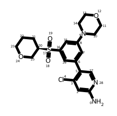 Nc1cc(Cl)c(-c2cc(N3CCOCC3)cc(S(=O)(=O)[C@@H]3CCCOC3)c2)cn1